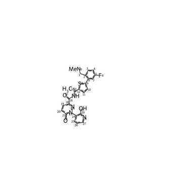 CNCc1ccc(F)cc1-c1ccc([C@@H](C)NC(=O)c2ccc(=O)n(-c3cccnc3O)n2)s1